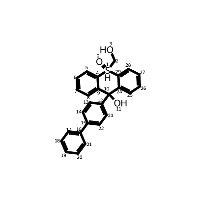 O=[SH]1(CO)c2ccccc2C(O)(c2ccc(-c3ccccc3)cc2)c2ccccc21